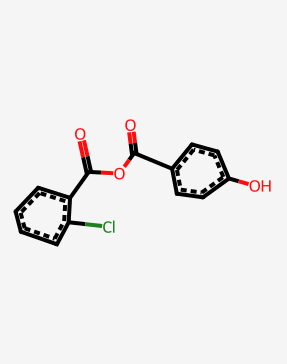 O=C(OC(=O)c1ccccc1Cl)c1ccc(O)cc1